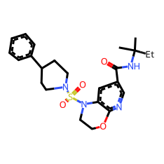 CCC(C)(C)NC(=O)c1cnc2c(c1)N(S(=O)(=O)N1CCC(c3ccccc3)CC1)CCO2